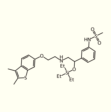 CC[Si](CC)(CC)OC(CNCCOc1ccc2c(C)c(C)sc2c1)c1cccc(NS(C)(=O)=O)c1